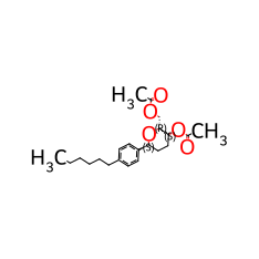 CCCCCCc1ccc([C@@H]2CC[C@H](OC(C)=O)[C@@H](COC(C)=O)O2)cc1